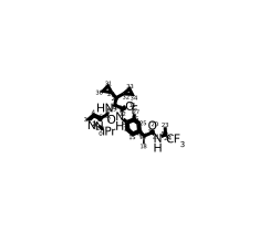 CC(C)n1nccc1C(=O)N[C@H](C(=O)Nc1ccc([C@H](C)C(=O)N[C@H](C)C(F)(F)F)cc1F)C(C1CC1)C1CC1